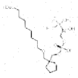 CCCCCCCCCCCCCCCCCCOCC1(COP(=O)(O)OC[C@@H](O)[N+](C)(C)C)CCCO1